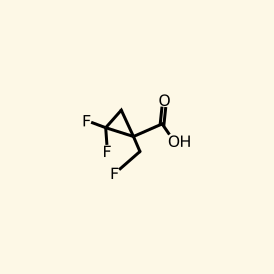 O=C(O)C1(CF)CC1(F)F